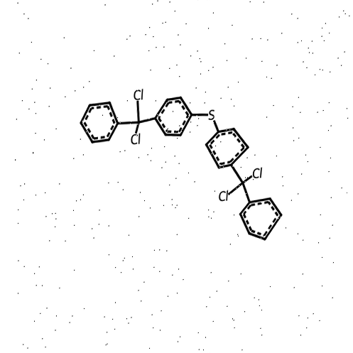 ClC(Cl)(c1ccccc1)c1ccc(Sc2ccc(C(Cl)(Cl)c3ccccc3)cc2)cc1